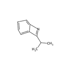 CC(C)C1=Nc2ccccc21